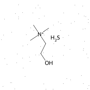 C[N+](C)(C)CCO.S